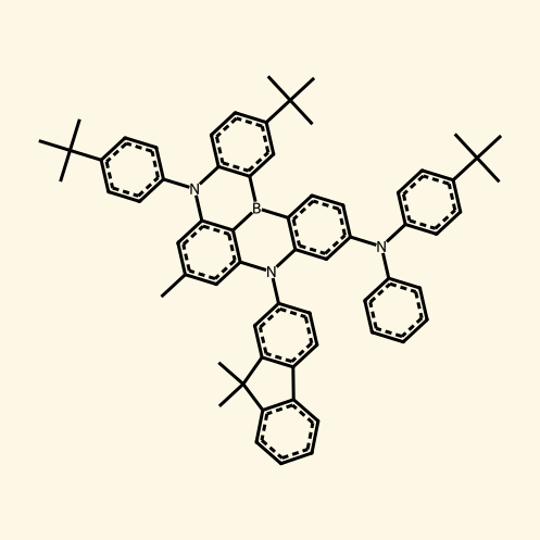 Cc1cc2c3c(c1)N(c1ccc4c(c1)C(C)(C)c1ccccc1-4)c1cc(N(c4ccccc4)c4ccc(C(C)(C)C)cc4)ccc1B3c1cc(C(C)(C)C)ccc1N2c1ccc(C(C)(C)C)cc1